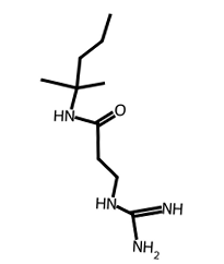 CCCC(C)(C)NC(=O)CCNC(=N)N